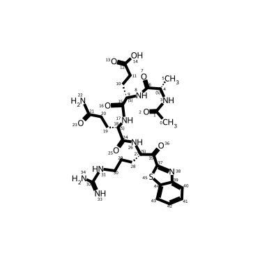 CC(=O)N[C@@H](C)C(=O)N[C@@H](CCC(=O)O)C(=O)N[C@@H](CCC(N)=O)C(=O)N[C@@H](CCCNC(=N)N)C(=O)c1nc2ccccc2s1